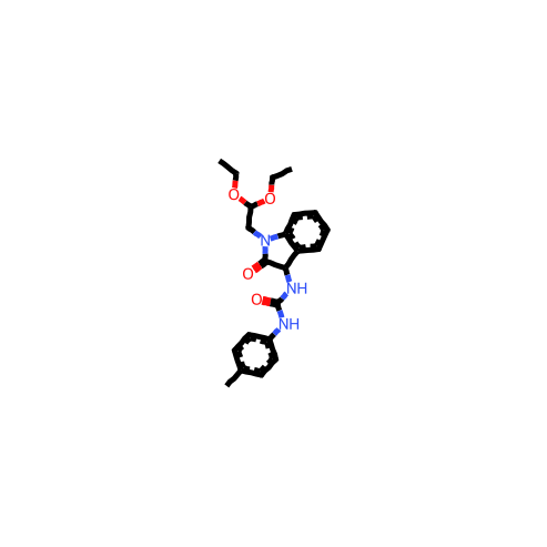 CCOC(CN1C(=O)C(NC(=O)Nc2ccc(C)cc2)c2ccccc21)OCC